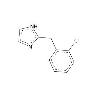 Clc1ccccc1Cc1ncc[nH]1